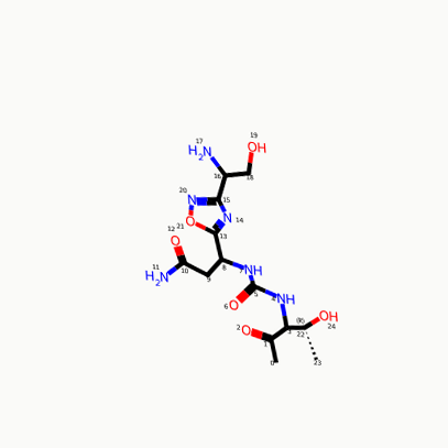 CC(=O)C(NC(=O)NC(CC(N)=O)c1nc(C(N)CO)no1)[C@@H](C)O